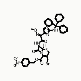 CON=C(C(=O)NC1C(=O)N2C(C(=O)OCc3ccc([N+](=O)[O-])cc3)=C(CBr)CS[C@@H]12)c1csc(NC(c2ccccc2)(c2ccccc2)c2ccccc2)n1